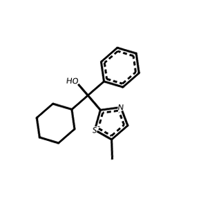 Cc1cnc(C(O)(c2ccccc2)C2CCCCC2)s1